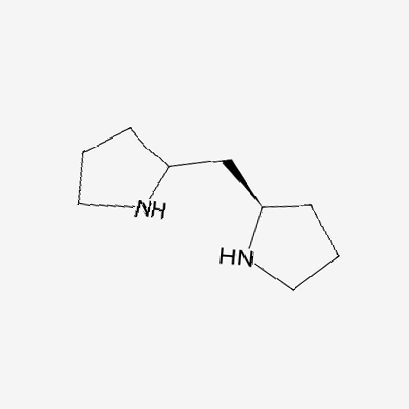 C1CNC(C[C@H]2CCCN2)C1